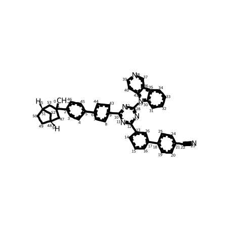 CC1(c2ccc(-c3ccc(-c4nc(-c5cccc(-c6ccc(C#N)cc6)c5)nc(-n5c6ccccc6c6cnccc65)n4)cc3)cc2)C[C@@H]2CC[C@@H](C2)C1